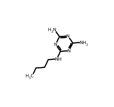 CCCCNc1nc(N)nc(N)n1